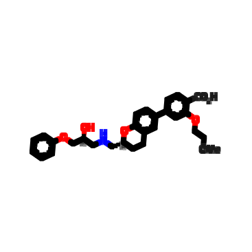 COCCOc1cc(-c2ccc3c(c2)CC[C@H](CNC[C@H](O)COc2ccccc2)O3)ccc1C(=O)O